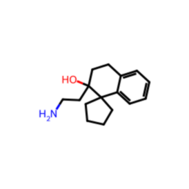 NCCC1(O)CCc2ccccc2C12CCCC2